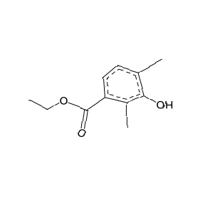 CCOC(=O)c1ccc(C)c(O)c1C